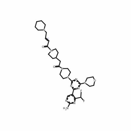 Nc1ncc(-c2nc(N3CCOCC3)nc(N3CCN(C(=O)CC4CCN(C(=O)/C=C/CN5CCCCC5)CC4)CC3)n2)c(C(F)F)n1